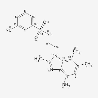 Cc1nc(N)c2nc(C)n(CCNS(=O)(=O)c3cccc(C#N)c3)c2c1C